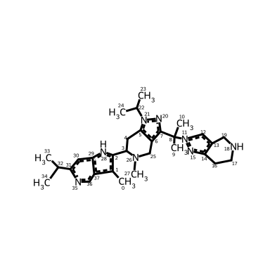 Cc1c(C2Cc3c(c(C(C)(C)n4cc5c(n4)CCNC5)nn3C(C)C)CN2C)[nH]c2cc(C(C)C)ncc12